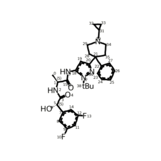 C[C@H](NC(=O)[C@@H](O)c1cc(F)cc(F)c1)C(=O)Nc1cc(C2(c3ccccc3)CCN(C3CC3)CC2)nn1C(C)(C)C